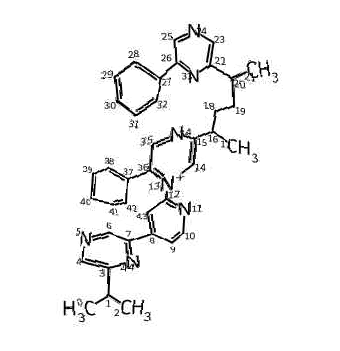 CC(C)c1cncc(-c2ccnc(-[n+]3cc(C(C)CCC(C)c4cncc(-c5ccccc5)n4)ncc3-c3ccccc3)c2)n1